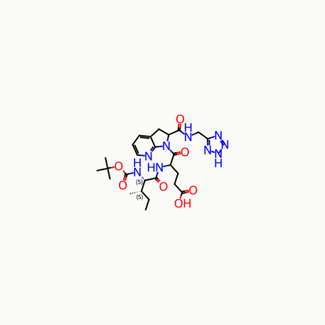 CC[C@H](C)[C@H](NC(=O)OC(C)(C)C)C(=O)NC(CCC(=O)O)C(=O)N1c2ncccc2CC1C(=O)NCc1nn[nH]n1